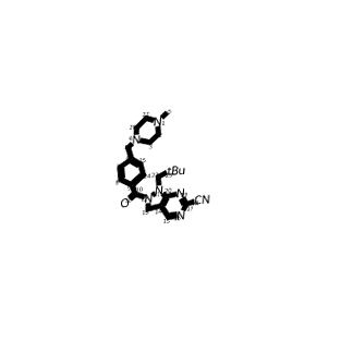 CN1CCN(Cc2ccc(C(=O)N3Cc4cnc(C#N)nc4N3CC(C)(C)C)cc2)CC1